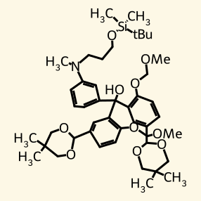 COCOc1ccc(C2OCC(C)(C)CO2)cc1C(O)(c1cccc(N(C)CCCO[Si](C)(C)C(C)(C)C)c1)c1cc(C2OCC(C)(C)CO2)ccc1OCOC